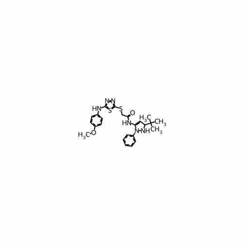 COc1ccc(Nc2nnc(SCC(=O)NC3=CC(C(C)(C)C)NN3c3ccccc3)s2)cc1